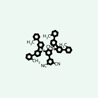 Cc1ccccc1-c1ccc2c(c1)c1cc(-c3ccccc3C)ccc1n2-c1cc(-c2cc(C#N)cc(C#N)c2)cc(-n2c3ccc(-c4ccccc4C)cc3c3cc(-c4ccccc4C)ccc32)c1C#N